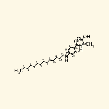 CCCCCCCCCC=CCCCNc1ccc(C(=O)N[C@@H](C)C(=O)O)cc1